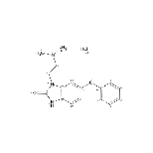 CN(C)CCn1c(=O)[nH]c2ccc(Oc3ccccc3)cc21.Cl